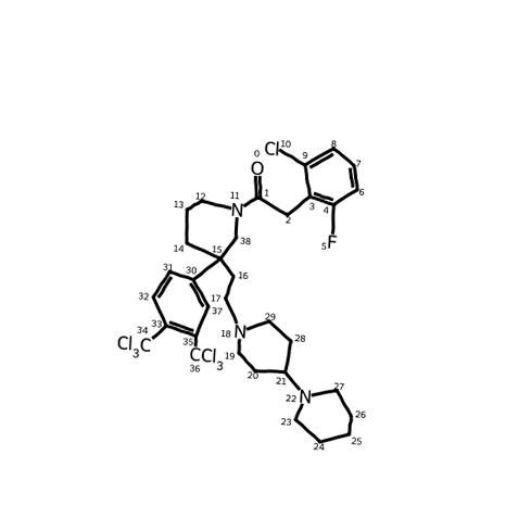 O=C(Cc1c(F)cccc1Cl)N1CCCC(CCN2CCC(N3CCCCC3)CC2)(c2ccc(C(Cl)(Cl)Cl)c(C(Cl)(Cl)Cl)c2)C1